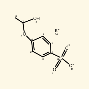 CC(O)Oc1ccc(S(=O)(=O)[O-])cc1.[K+]